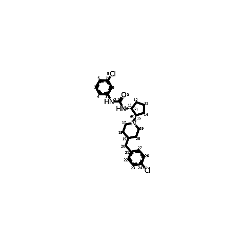 O=C(Nc1cccc(Cl)c1)N[C@@H]1CCC[C@H]1N1CCC(Cc2ccc(Cl)cc2)CC1